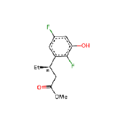 CC[C@H](CC(=O)OC)c1cc(F)cc(O)c1F